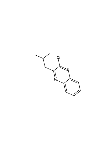 CC(C)Cc1nc2ccccc2nc1Cl